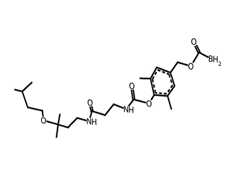 BC(=O)OCc1cc(C)c(OC(=O)NCCC(=O)NCCC(C)(C)OCCC(C)C)c(C)c1